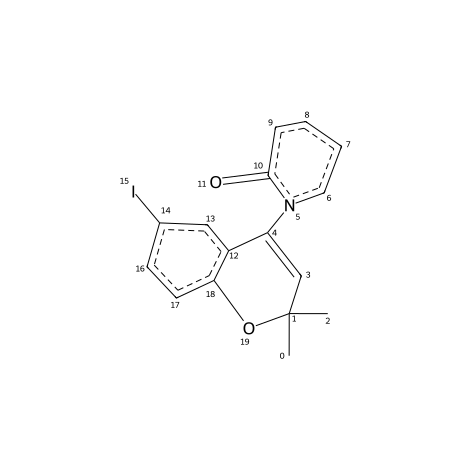 CC1(C)C=C(n2ccccc2=O)c2cc(I)ccc2O1